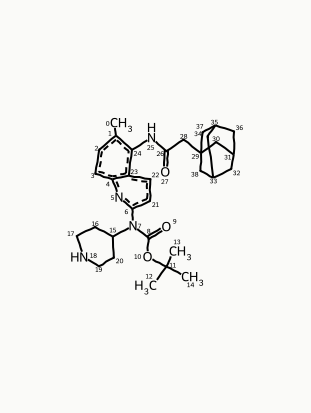 Cc1ccc2nc(N(C(=O)OC(C)(C)C)C3CCNCC3)ccc2c1NC(=O)CC12CC3CC(CC(C3)C1)C2